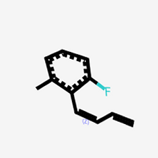 C=C/C=C\c1c(C)cccc1F